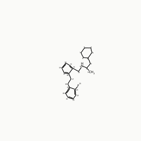 CC(CC1CCCCC1)NCc1ccccc1CCc1ccccc1F